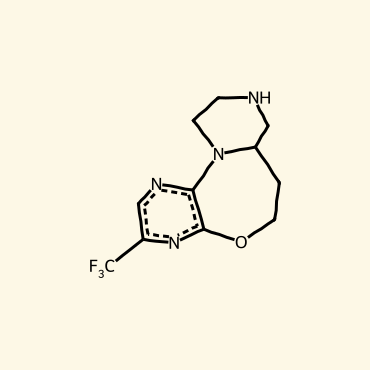 FC(F)(F)c1cnc2c(n1)OCCC1CNCCN21